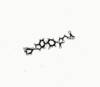 CC(=O)NCC1CN(c2ccc(-c3ccc4c(c3)CN(c3cnn[nH]3)C4)c(F)c2)C(=O)O1